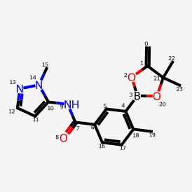 C=C1OB(c2cc(C(=O)Nc3ccnn3C)ccc2C)OC1(C)C